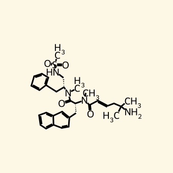 CN(C(=O)[C@@H](Cc1ccc2ccccc2c1)N(C)C(=O)C=CCC(C)(C)N)[C@@H](CNS(C)(=O)=O)Cc1ccccc1